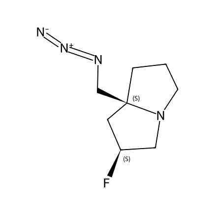 [N-]=[N+]=NC[C@@]12CCCN1C[C@@H](F)C2